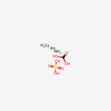 O=C(O)O.O=S(=O)(O)O.[AlH3].[CaH2].[KH]